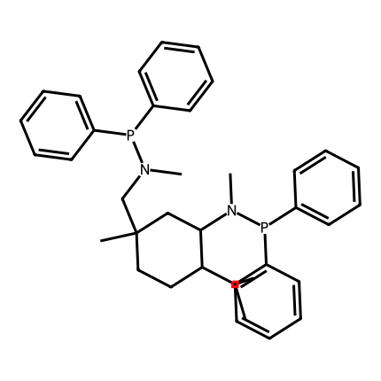 CC(C)C1CCC(C)(CN(C)P(c2ccccc2)c2ccccc2)CC1N(C)P(c1ccccc1)c1ccccc1